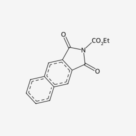 CCOC(=O)N1C(=O)c2cc3ccccc3cc2C1=O